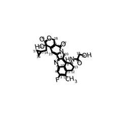 Cc1c(F)cc2nc3c(c4c2c1CC[C@@H]4NC(=O)CO)Cn1c-3cc2c(c1=O)COC(=O)[C@@]2(O)CC1CC1